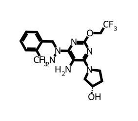 Nc1c(N(N)Cc2ccccc2C(F)(F)F)nc(OCC(F)(F)F)nc1N1CC[C@H](O)C1